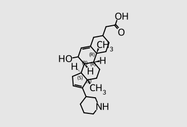 C[C@]12CCC(CC(=O)O)CC1=CC(O)[C@@H]1[C@H]2CC[C@]2(C)C(C3CCCNC3)=CC[C@@H]12